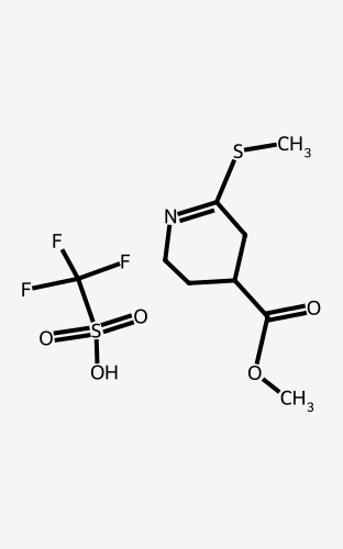 COC(=O)C1CCN=C(SC)C1.O=S(=O)(O)C(F)(F)F